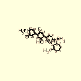 C[C@@H]1CCCC[C@H](N(C)c2ccc(-c3cc(F)c(-c4ccn(C)c(=O)c4)cc3O)nn2)C1